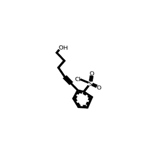 O=S(=O)(Cl)c1ccccc1C#CCCCO